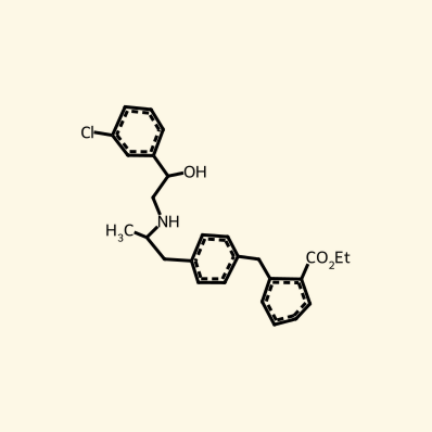 CCOC(=O)c1ccccc1Cc1ccc(CC(C)NCC(O)c2cccc(Cl)c2)cc1